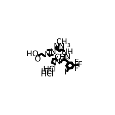 Cc1nc(Nc2nc(-c3cc(F)cc(C(F)(F)F)c3)c(CN3CCC[C@H]3C)s2)cc(N2CCN(CCC(=O)O)CC2)n1.Cl.Cl.Cl